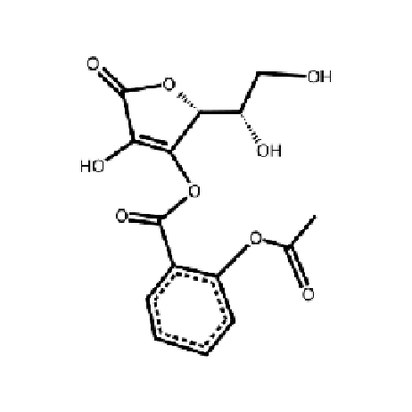 CC(=O)Oc1ccccc1C(=O)OC1=C(O)C(=O)O[C@@H]1[C@@H](O)CO